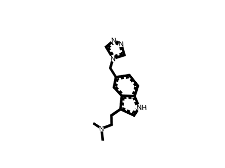 CN(C)CCc1c[nH]c2ccc(Cn3cnnc3)cc12